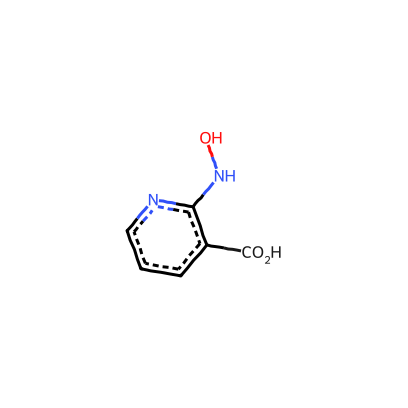 O=C(O)c1cccnc1NO